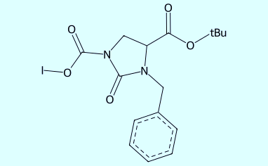 CC(C)(C)OC(=O)C1CN(C(=O)OI)C(=O)N1Cc1ccccc1